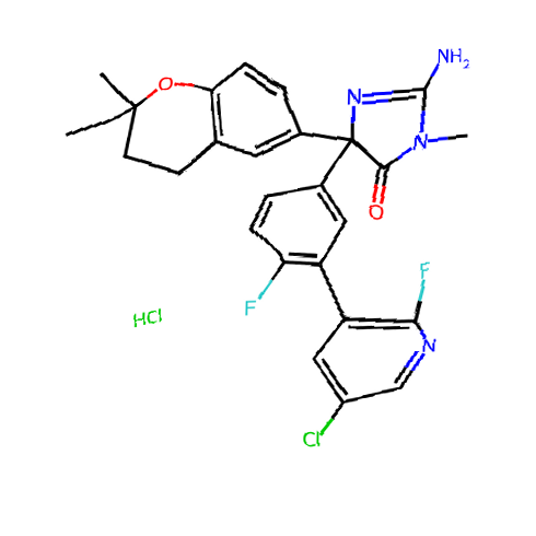 CN1C(=O)C(c2ccc3c(c2)CCC(C)(C)O3)(c2ccc(F)c(-c3cc(Cl)cnc3F)c2)N=C1N.Cl